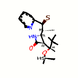 C[C@@H](C(=S)c1ccccn1)[C@H]1NC(=O)[C@@H]1[C@@](C)(O[SiH](C)C)C(C)(C)C